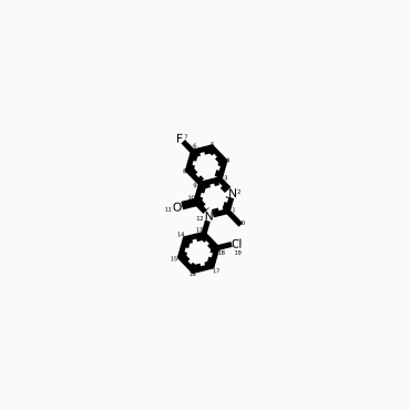 Cc1nc2ccc(F)cc2c(=O)n1-c1ccccc1Cl